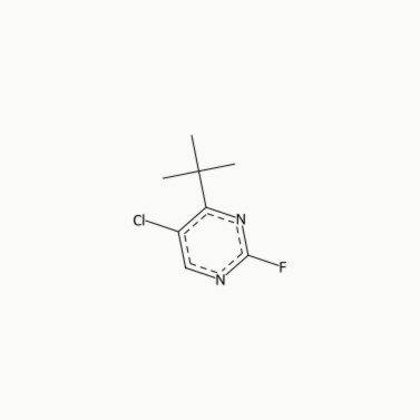 CC(C)(C)c1nc(F)ncc1Cl